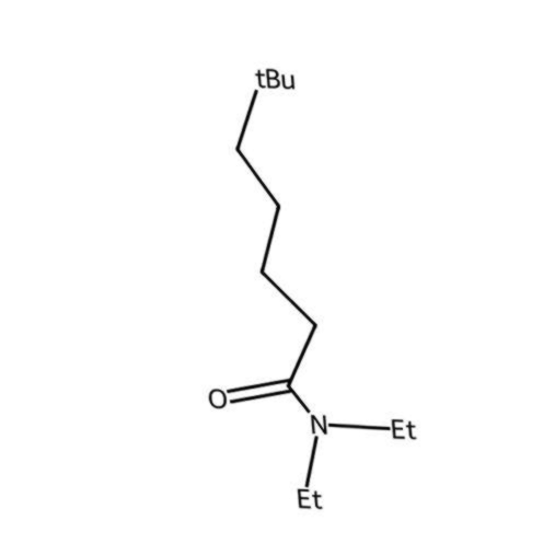 CCN(CC)C(=O)CCCCC(C)(C)C